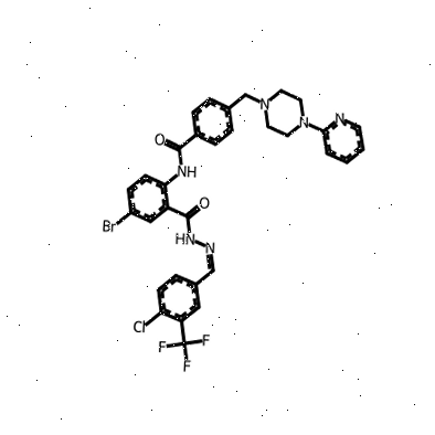 O=C(Nc1ccc(Br)cc1C(=O)N/N=C\c1ccc(Cl)c(C(F)(F)F)c1)c1ccc(CN2CCN(c3ccccn3)CC2)cc1